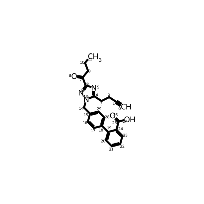 C#CCCc1nc(C(=O)CCC)nn1Cc1ccc(-c2ccccc2C(=O)O)cc1